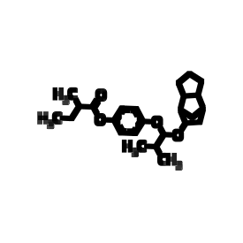 CCC(C)C(=O)Oc1ccc(OC(OC2CC3CC2C2CCCC32)C(C)C)cc1